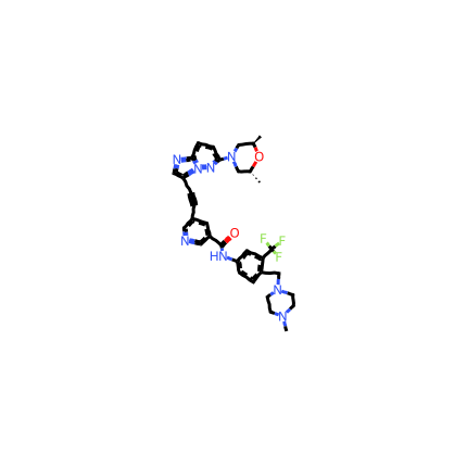 C[C@@H]1CN(c2ccc3ncc(C#Cc4cncc(C(=O)Nc5ccc(CN6CCN(C)CC6)c(C(F)(F)F)c5)c4)n3n2)C[C@@H](C)O1